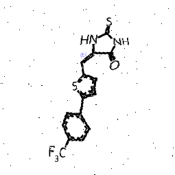 O=C1NC(=S)N/C1=C/c1ccc(-c2ccc(C(F)(F)F)cc2)s1